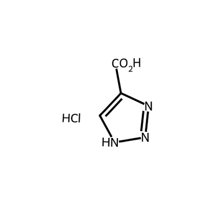 Cl.O=C(O)c1c[nH]nn1